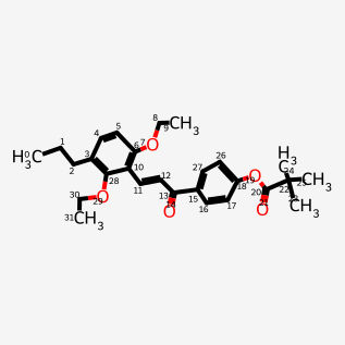 CCCc1ccc(OCC)c(/C=C/C(=O)c2ccc(OC(=O)C(C)(C)C)cc2)c1OCC